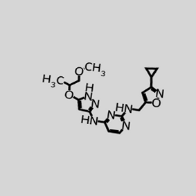 COCC(C)Oc1cc(Nc2ccnc(NCc3cc(C4CC4)no3)n2)n[nH]1